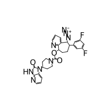 [N-]=[N+]=NC1c2cccnc2C(OC(=O)N2CCC(n3c(=O)[nH]c4ncccc43)CC2)CCC1c1cc(F)cc(F)c1